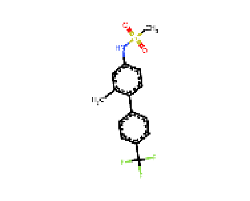 Cc1cc(NS(C)(=O)=O)ccc1-c1ccc(C(F)(F)F)cc1